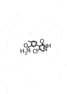 Cc1ccc(-c2c(Cl)cn[nH]c2=O)cc1C(N)=O